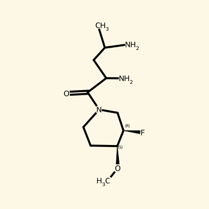 CO[C@H]1CCN(C(=O)C(N)CC(C)N)C[C@H]1F